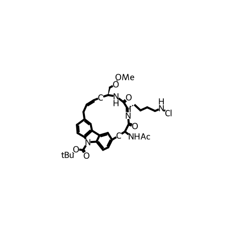 COOC[C@@H]1CC=CCc2ccc3c(c2)c2cc(ccc2n3C(=O)OC(C)(C)C)CC(NC(C)=O)C(=O)N[C@@H](CCCCNCl)C(=O)N1